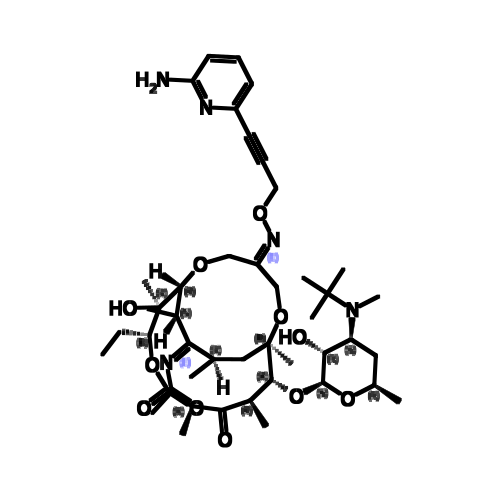 CC[C@H]1OC(=O)[C@H](C)C(=O)[C@H](C)[C@@H](O[C@@H]2O[C@H](C)C[C@H](N(C)C(C)(C)C)[C@H]2O)[C@@]2(C)C[C@@H](C)/C(=N\C(C)=O)[C@H](C)[C@@H](OC/C(=N\OCC#Cc3cccc(N)n3)CO2)[C@]1(C)O